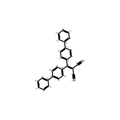 N#CC(C#N)=C(c1ccc(-c2ccccc2)cc1)c1ccc(-c2ccccc2)cc1